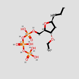 [2H]CO[C@H]1C[C@H](BCC)O[C@@H]1COP(=O)(O)OP(=O)(O)OP(=O)(O)O